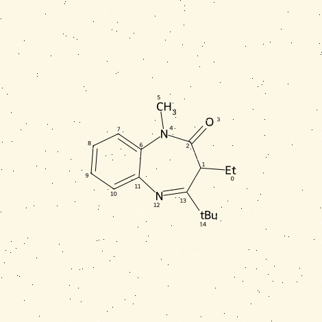 CCC1C(=O)N(C)c2ccccc2N=C1C(C)(C)C